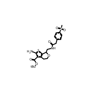 CC(C)(C)OC(=O)c1c(N)sc2c1CCOC2CNC(=O)Cc1ccc(S(C)(=O)=O)cc1